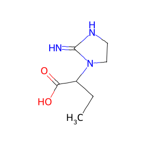 CCC(C(=O)O)N1CCNC1=N